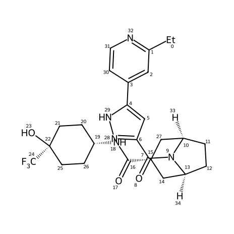 CCc1cc(-c2cc(C(=O)N3[C@@H]4CC[C@H]3C[C@H](C(=O)N[C@H]3CC[C@@](O)(C(F)(F)F)CC3)C4)n[nH]2)ccn1